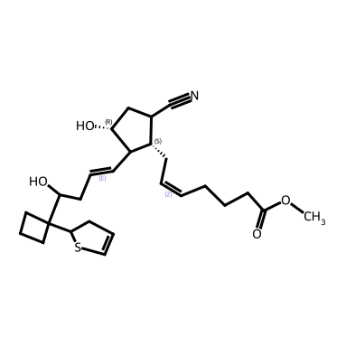 COC(=O)CCC/C=C\C[C@H]1C(C#N)C[C@@H](O)C1/C=C/CC(O)C1(C2CC=CS2)CCC1